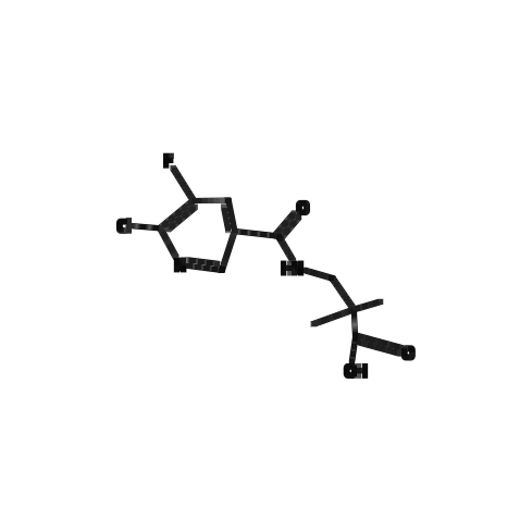 CC(C)(CNC(=O)c1cnc(Cl)c(F)c1)C(=O)O